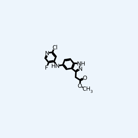 COC(=O)Cc1n[nH]c2ccc(Nc3cc(Cl)ncc3F)cc12